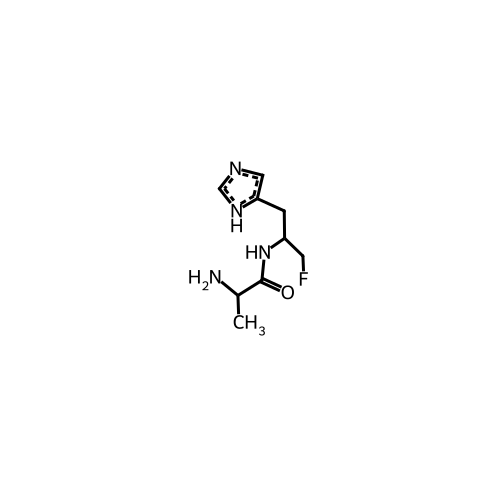 CC(N)C(=O)NC(CF)Cc1cnc[nH]1